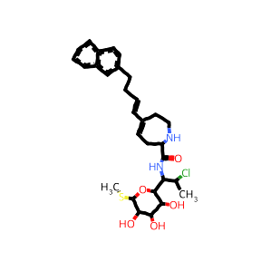 CSC1OC(C(NC(=O)C2CC=C(/C=C/CCc3ccc4ccccc4c3)CCN2)C(C)Cl)C(O)C(O)C1O